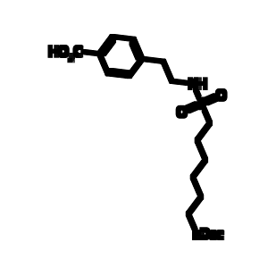 CCCCCCCCCCCCCCCCS(=O)(=O)NCCc1ccc(C(=O)O)cc1